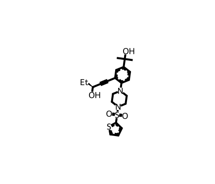 CC[C@H](O)C#Cc1cc(C(C)(C)O)ccc1N1CCN(S(=O)(=O)c2cccs2)CC1